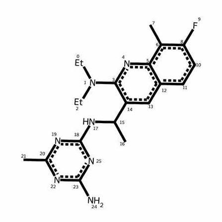 CCN(CC)c1nc2c(C)c(F)ccc2cc1C(C)Nc1nc(C)nc(N)n1